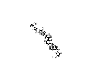 Cc1c(Nc2nccc3cc(CN4CC[C@@H](O)C4)cnc23)cccc1-c1cccc(-c2nc3cc(CN4CC(C(=O)O)C4)cc(Cl)c3o2)c1C